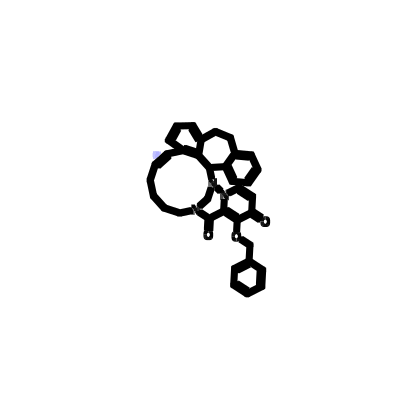 O=C1c2c(OCc3ccccc3)c(=O)ccn2N2CN1CCCC/C=C\c1cccc3c1C2c1ccccc1CC3